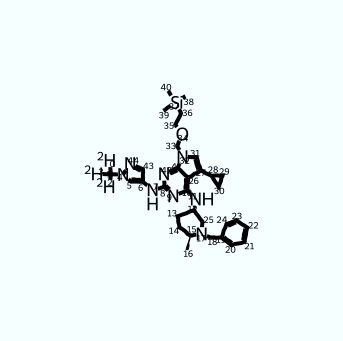 [2H]C([2H])([2H])n1cc(Nc2nc(N[C@@H]3CC[C@H](C)N(Cc4ccccc4)C3)c3c(C4CC4)cn(COCC[Si](C)(C)C)c3n2)cn1